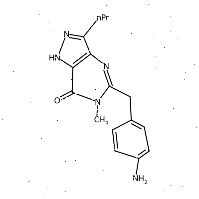 CCCc1n[nH]c2c(=O)n(C)c(Cc3ccc(N)cc3)nc12